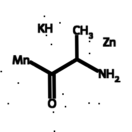 CC(N)[C](=O)[Mn].[KH].[Zn]